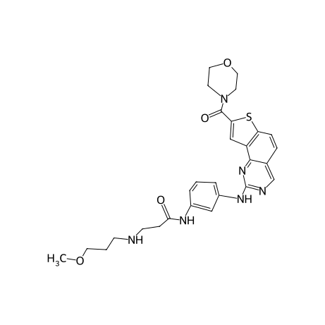 COCCCNCCC(=O)Nc1cccc(Nc2ncc3ccc4sc(C(=O)N5CCOCC5)cc4c3n2)c1